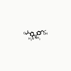 CC(C=O)c1ccc(N(N)c2ccc(C[C@@H](C)O)cc2)c(N)c1